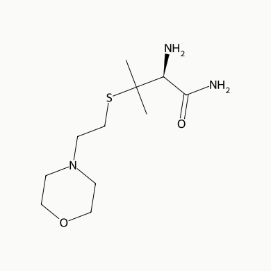 CC(C)(SCCN1CCOCC1)[C@@H](N)C(N)=O